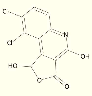 O=C1OC(O)c2c1c(O)nc1ccc(Cl)c(Cl)c21